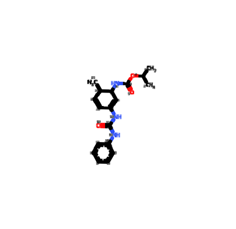 CC(C)OC(=O)NC1C=C(NC(=O)Nc2ccccc2)C=CC1C